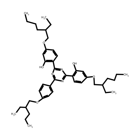 CCCCC(CC)COc1ccc(-c2nc(-c3ccc(OCC(CC)CCC)cc3)nc(-c3ccc(OCC(CC)CCCC)cc3O)n2)c(O)c1